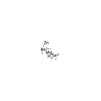 [Be+2].[MgH2].[Se-2].[Zn]